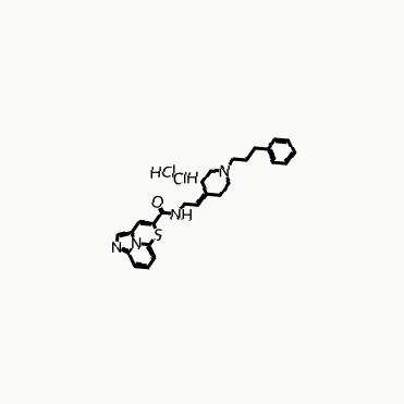 Cl.Cl.O=C(NCC=C1CCN(CCCc2ccccc2)CC1)C1=Cc2cnc3cccc(n23)S1